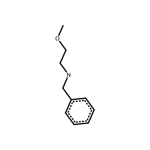 COCC[N]Cc1ccccc1